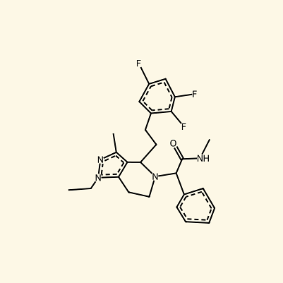 CCn1nc(C)c2c1CCN(C(C(=O)NC)c1ccccc1)C2CCc1cc(F)cc(F)c1F